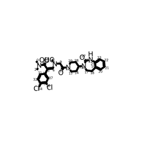 CN(C)C(=O)/C(=C\N(C=O)CC(=O)N1CCC(N2CCc3ccccc3NC2=O)CC1)c1ccc(Cl)c(Cl)c1